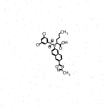 CCCCC(C(=O)O)N(c1ccc2cc(-c3nc(C)no3)ccc2c1)S(=O)(=O)c1cc(Cl)cc(Cl)c1